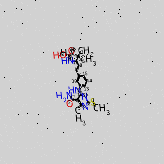 CSc1nc(C)c(C(N)=O)c(Nc2cccc(CCC(NC(=O)O)C(C)(C)C)c2)n1